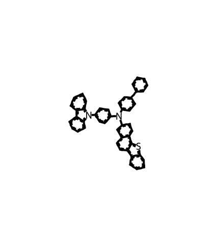 c1ccc(-c2ccc(N(c3ccc(-n4c5ccccc5c5ccccc54)cc3)c3ccc4c(ccc5c6ccccc6sc45)c3)cc2)cc1